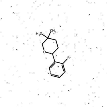 CC1(C)CCC(c2ccccc2Br)OC1